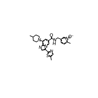 Cc1cnc(-c2cnc3c(N4CCC(C)CC4)cc(C(=O)NCc4ccc(C)[n+]([O-])c4)cn23)s1